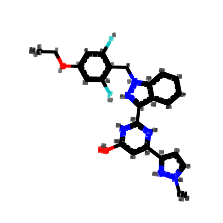 CCOc1cc(F)c(Cn2nc(-c3nc(O)cc(-c4ccn(C)n4)n3)c3ccccc32)c(F)c1